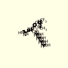 CN(C)Cc1cc(O[C@H]2CC[C@@H](N3CC(CC#N)(n4cc(-c5ncnc6[nH]ccc56)cn4)C3)CC2)nc(C(F)(F)F)n1.O=C(O)C(F)(F)F.O=C(O)C(F)(F)F.O=C(O)C(F)(F)F.O=C(O)C(F)(F)F